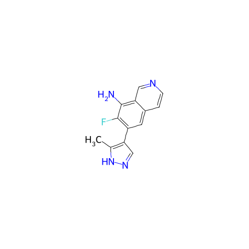 Cc1[nH]ncc1-c1cc2ccncc2c(N)c1F